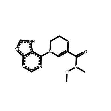 CON(C)C(=O)C1=CN(c2ncnc3nc[nH]c23)CCS1